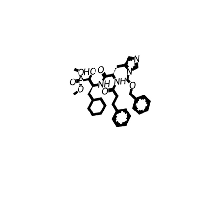 COP(=O)(OC)C(O)[C@H](CC1CCCCC1)NC(=O)[C@H](Cc1cncn1COCc1ccccc1)NC(=O)CCc1ccccc1